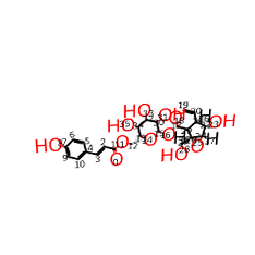 O=C(/C=C/c1ccc(O)cc1)OC[C@H]1O[C@@H](O[C@@H]2OC=C[C@H]3[C@H](O)[C@@H]4O[C@]4(CO)[C@@H]23)[C@H](O)[C@@H](O)[C@@H]1O